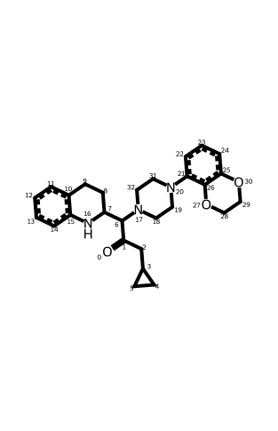 O=C(CC1CC1)C(C1CCc2ccccc2N1)N1CCN(c2cccc3c2OCCO3)CC1